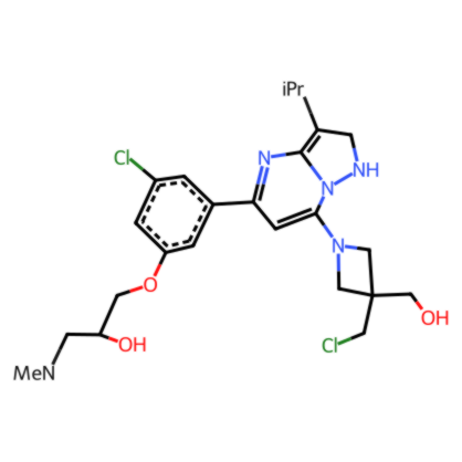 CNCC(O)COc1cc(Cl)cc(C2=NC3=C(C(C)C)CNN3C(N3CC(CO)(CCl)C3)=C2)c1